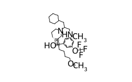 CNCC(CC1CCCCC1)N1CCC[C@@H]([C@@](O)(CCCCOC)c2cccc(OC(F)(F)F)c2)C1